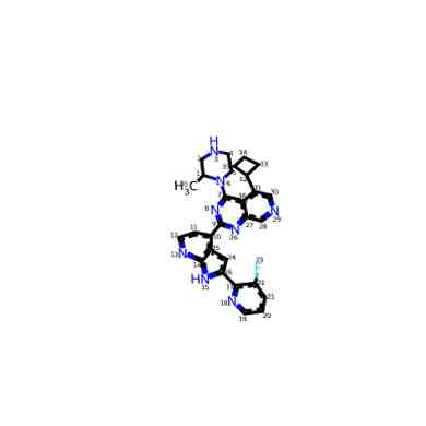 CC1CNCCN1c1nc(-c2ccnc3[nH]c(-c4ncccc4F)cc23)nc2cncc(C3CCC3)c12